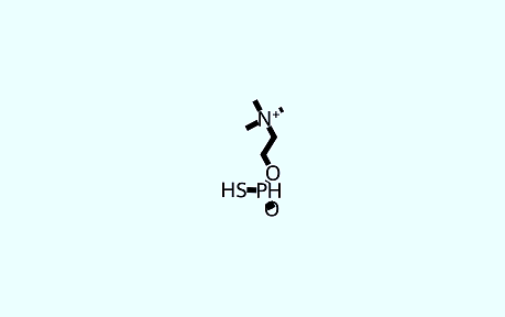 C[N+](C)(C)CCO[PH](=O)S